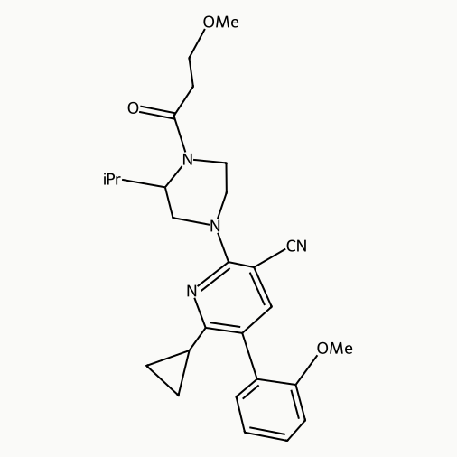 COCCC(=O)N1CCN(c2nc(C3CC3)c(-c3ccccc3OC)cc2C#N)CC1C(C)C